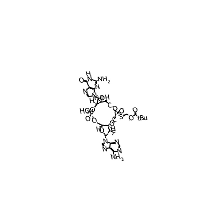 CC(C)(C)C(=O)OCSP1(=O)CO[C@H]2[C@@H](F)[C@H](n3cnc4c(N)ncnc43)O[C@@H]2COP(=O)(O)O[C@@H]2[C@H](F)[C@@H](CO1)O[C@H]2n1cnc2c(=O)[nH]c(N)nc21